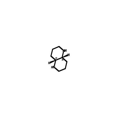 C1CN[C@@H]2CCCN[C@@H]2C1